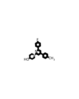 Cc1ccc(-c2cc(-c3ccc(F)cc3)nc(N3CCC(O)CC3)c2)cc1